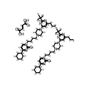 CCCc1cc(N2CCN(CCCCn3ccc(C4CCCCC4)nc3=O)CC2)nc(C(C)(C)C)n1.CCCc1cc(N2CCN(CCCCn3ccc(C4CCCCC4)nc3=O)CC2)nc(C(C)(C)C)n1.O=C(O)C=CC(=O)O